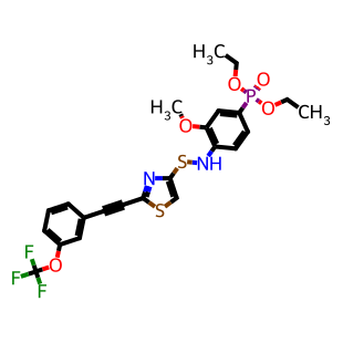 CCOP(=O)(OCC)c1ccc(NSc2csc(C#Cc3cccc(OC(F)(F)F)c3)n2)c(OC)c1